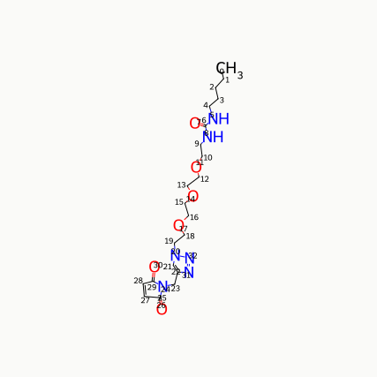 CCCCCNC(=O)NCCOCCOCCOCCn1cc(CN2C(=O)C=CC2=O)nn1